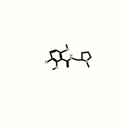 C=C(NCC1CCCN1C)c1c(OC)ccc(Cl)c1OC